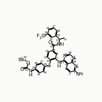 CC(C)c1ccc2c(Nc3cc(C(=O)NC(C)c4cccc(C(F)(F)F)c4)ccc3Sc3ccc(NC(=O)OC(C)(C)C)cc3)ncnc2n1